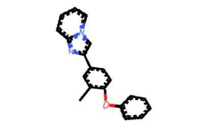 Cc1cc(-c2cn3ccccc3n2)ccc1Oc1ccccc1